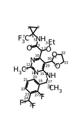 CCOC(C(=O)NC1(C(F)(F)F)CC1)c1nc(C)nc(N[C@H](C)c2cccc(C(F)F)c2F)c1C1OCCO1